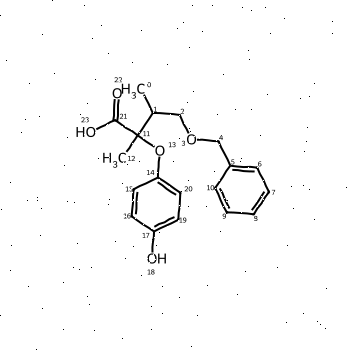 CC(COCc1ccccc1)C(C)(Oc1ccc(O)cc1)C(=O)O